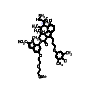 COCCOCCOc1cc(N2C[C@@H](C)n3c(c(CCCOc4cc(C)c(Cl)c(C)c4)c4ccc(Cl)c(/C(C(C)=N)=C(\C)NN)c43)C2=O)c2c(c1)cc(C(=O)O)n2C